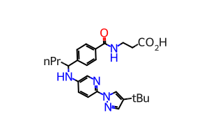 CCCC(Nc1ccc(-n2cc(C(C)(C)C)cn2)nc1)c1ccc(C(=O)NCCC(=O)O)cc1